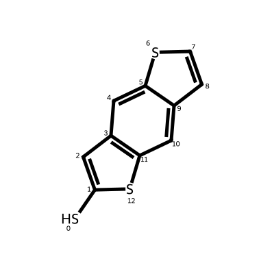 Sc1cc2cc3sccc3cc2s1